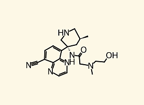 C[C@@H]1CNC[C@](NC(=O)CN(C)CCO)(c2ccc(C#N)c3nccnc23)C1